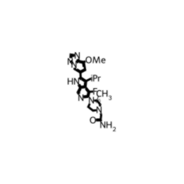 COc1cc(-c2[nH]c3cnc(N4CCN(CC(N)=O)C[C@H]4C)c(F)c3c2C(C)C)cn2ncnc12